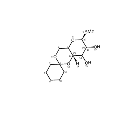 CS[C@@H]1OC2COC3(CCCCC3)O[C@H]2C(O)[C@H]1O